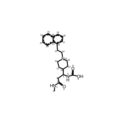 CNC(=O)CC(NC(=O)O)C1CCN(CCc2cccc3ccccc23)CC1